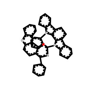 c1ccc(-c2nc(-n3c4ccccc4c4ccc5c6ccccc6n(-c6ccccc6)c5c43)nc3c2ccc2oc4ccccc4c23)cc1